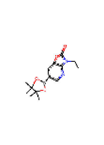 CCn1c(=O)oc2cc(B3OC(C)(C)C(C)(C)O3)cnc21